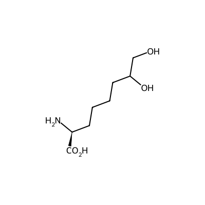 N[C@@H](CCCCC(O)CO)C(=O)O